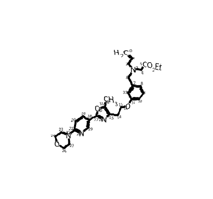 C=CCN(CC(=O)OCC)Cc1cccc(OCCc2nc(-c3ccc(N4CCOCC4)nc3)oc2C)c1